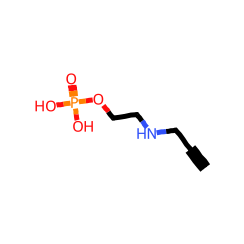 C#CCNCCOP(=O)(O)O